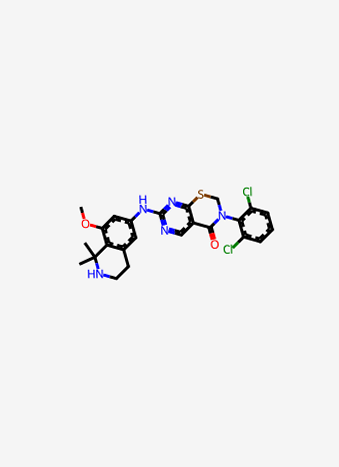 COc1cc(Nc2ncc3c(n2)SCN(c2c(Cl)cccc2Cl)C3=O)cc2c1C(C)(C)NCC2